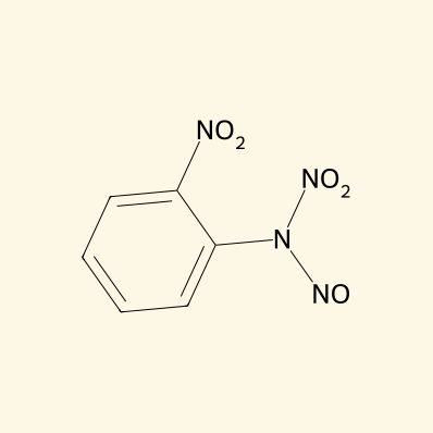 O=NN(c1ccccc1[N+](=O)[O-])[N+](=O)[O-]